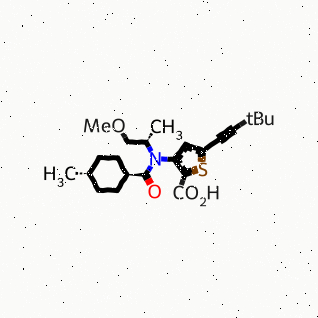 COC[C@H](C)N(c1cc(C#CC(C)(C)C)sc1C(=O)O)C(=O)[C@H]1CC[C@H](C)CC1